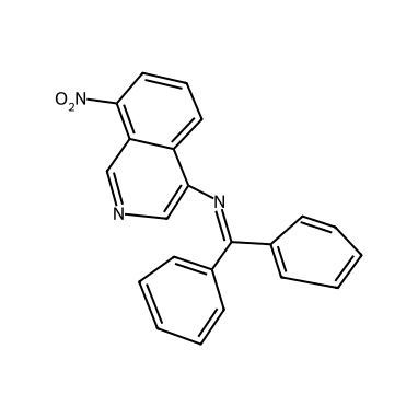 O=[N+]([O-])c1cccc2c(N=C(c3ccccc3)c3ccccc3)cncc12